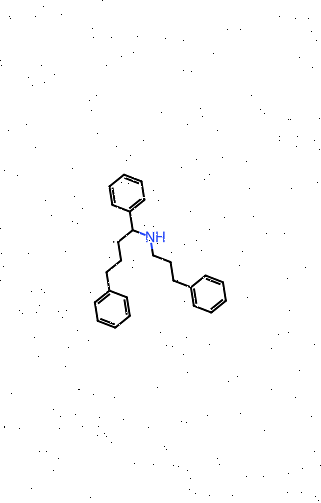 [CH](CCc1ccccc1)C(NCCCc1ccccc1)c1ccccc1